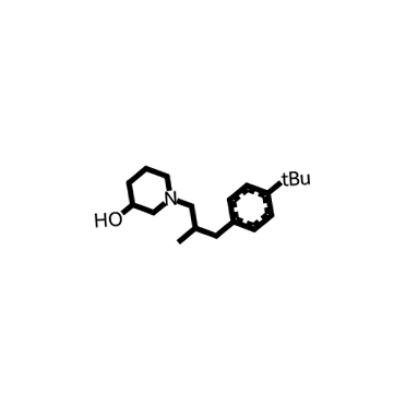 CC(Cc1ccc(C(C)(C)C)cc1)CN1CCCC(O)C1